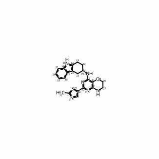 Cc1ncc(-c2nc3c(c(N[C@@H]4CCc5[nH]c6ccccc6c5C4)n2)OCCN3)s1